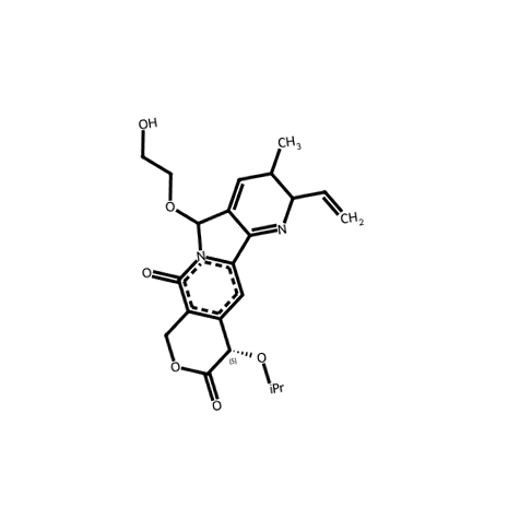 C=CC1N=C2C(=CC1C)C(OCCO)n1c2cc2c(c1=O)COC(=O)[C@H]2OC(C)C